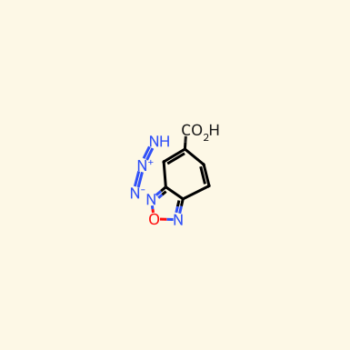 O=C(O)c1ccc2nonc2c1.[N-]=[N+]=N